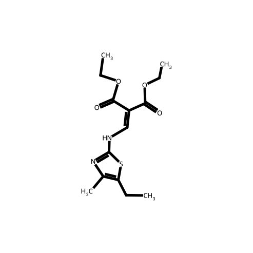 CCOC(=O)C(=CNc1nc(C)c(CC)s1)C(=O)OCC